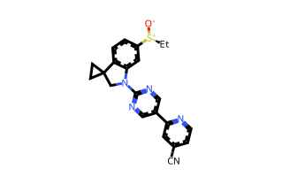 CC[S@+]([O-])c1ccc2c(c1)N(c1ncc(-c3cc(C#N)ccn3)cn1)CC21CC1